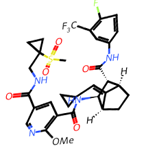 COc1ncc(C(=O)NCC2(S(C)(=O)=O)CC2)cc1C(=O)N[C@H]1[C@H](C(=O)Nc2ccc(F)c(C(F)(F)F)c2)[C@H]2CC[C@@H]1/C2=C\C1CC1